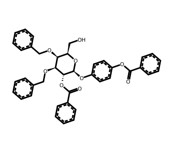 O=C(Oc1ccc(O[C@@H]2O[C@H](CO)[C@H](OCc3ccccc3)[C@H](OCc3ccccc3)[C@H]2OC(=O)c2ccccc2)cc1)c1ccccc1